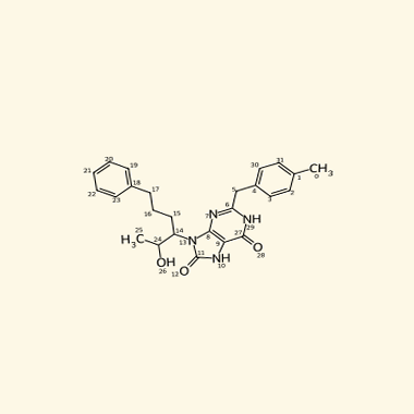 Cc1ccc(Cc2nc3c([nH]c(=O)n3C(CCCc3ccccc3)C(C)O)c(=O)[nH]2)cc1